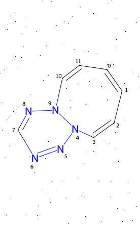 c1cccn2nncnn2cc1